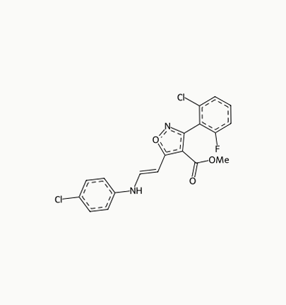 COC(=O)c1c(-c2c(F)cccc2Cl)noc1C=CNc1ccc(Cl)cc1